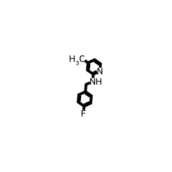 Cc1ccnc(NCc2ccc(F)cc2)c1